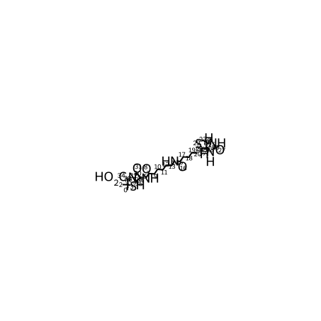 CC1(C)S[C@@H]2[C@H](NC(=O)CCCCCNC(=O)CCCC[C@@H]3SC[C@@H]4NC(=O)N[C@@H]43)C(=O)N2[C@H]1C(=O)O